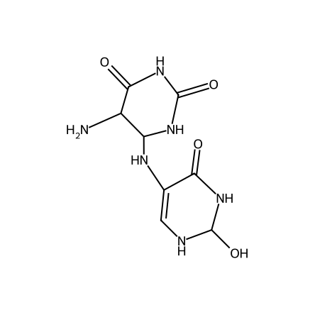 NC1C(=O)NC(=O)NC1NC1=CNC(O)NC1=O